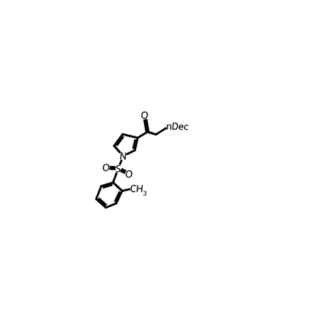 CCCCCCCCCCCC(=O)c1ccn(S(=O)(=O)c2ccccc2C)c1